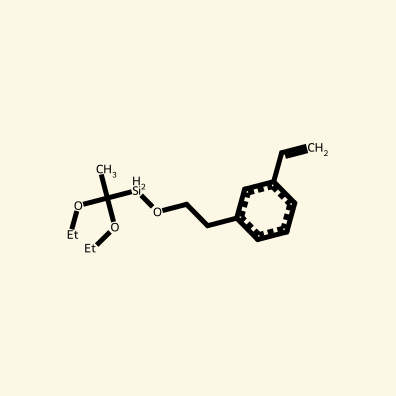 C=Cc1cccc(CCO[SiH2]C(C)(OCC)OCC)c1